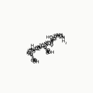 COc1cc(N=Nc2cc(C)c(N=Nc3ccc(C(=O)Nc4ccc5cccc(OCCCCS(=O)(=O)O)c5c4)cc3C)cc2OCCCS(=O)(=O)O)c(C)cc1N=Nc1ccc2cc(Nc3ccc(N)cc3)ccc2c1O